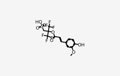 COc1cc(/C=C/C(=O)OC(CS(=O)(=O)O)(C(F)(F)F)C(F)(F)F)ccc1O